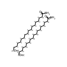 CCCCCCCCCCCCCCCCCCCCCCCCCCC(N)=O.CCCCCCCCCCCCCCCCCCCCCCCCCCC(N)=O